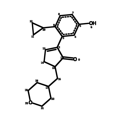 O=C1C(c2cc(O)ccc2C2CC2)=CCC1CC1CCOCC1